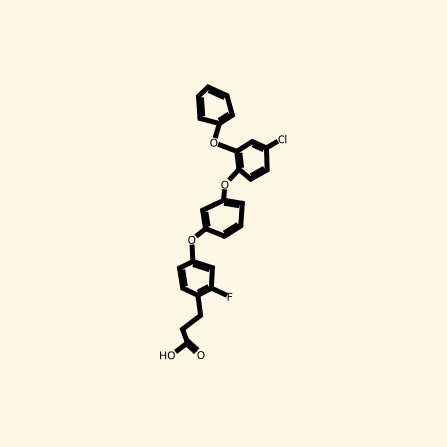 O=C(O)CCc1ccc(Oc2cccc(Oc3ccc(Cl)cc3Oc3ccccc3)c2)cc1F